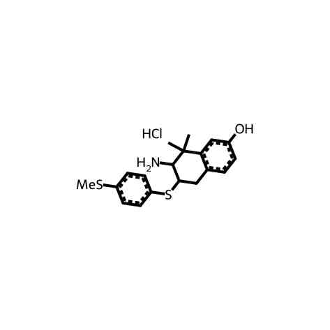 CSc1ccc(SC2Cc3ccc(O)cc3C(C)(C)C2N)cc1.Cl